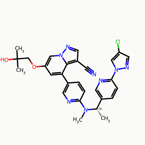 C[C@@H](c1ccc(-n2cc(Cl)cn2)nc1)N(C)c1ccc(-c2cc(OCC(C)(C)O)cn3ncc(C#N)c23)cn1